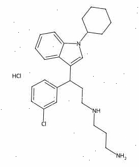 Cl.NCCCNCCC(c1cccc(Cl)c1)c1cn(C2CCCCC2)c2ccccc12